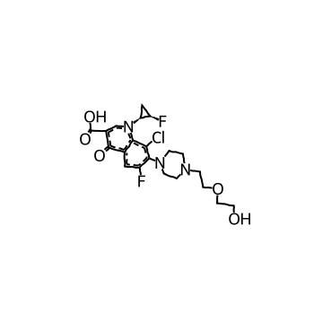 O=C(O)c1cn([C@H]2C[C@H]2F)c2c(Cl)c(N3CCN(CCOCCO)CC3)c(F)cc2c1=O